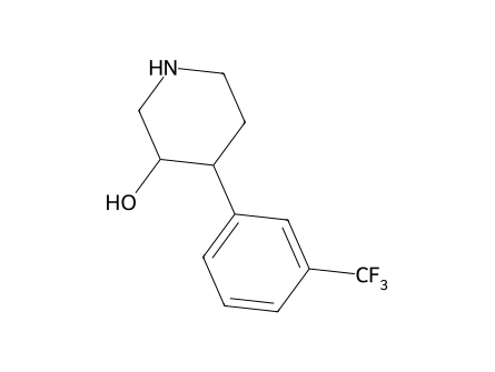 OC1CNCCC1c1cccc(C(F)(F)F)c1